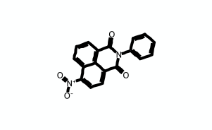 O=C1c2cccc3c([N+](=O)[O-])ccc(c23)C(=O)N1c1ccccc1